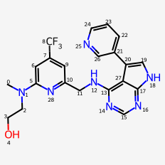 CN(CCO)c1cc(C(F)(F)F)cc(CNc2ncnc3[nH]cc(-c4cccnc4)c23)n1